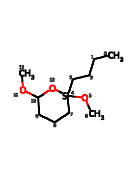 CCCC[Si]1(OC)CCCC(OC)O1